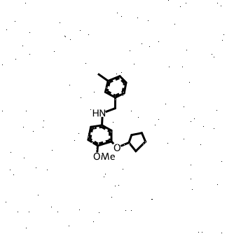 COc1ccc(NCc2cccc(C)c2)cc1OC1CCCC1